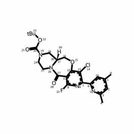 Cc1cc(C)nc(-c2nc(F)c3c(c2Cl)OC[C@H]2CN(C(=O)OC(C)(C)C)CCN2C3=O)c1